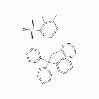 Cc1cccc(S(=O)(=O)[O-])c1C.c1ccc(C[P+](c2ccccc2)(c2ccccc2)c2ccccc2)cc1